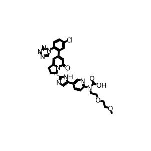 COCCOCCN(C(=O)O)c1ccc(-c2cnc([C@@H]3CCc4cc(-c5cc(Cl)ccc5-n5cnnn5)cc(=O)n43)[nH]2)cn1